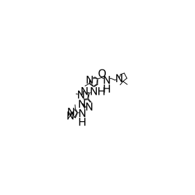 Cc1nn(C)cc1Nc1ncc2c(Nc3cc(C(=O)NCCN4CCCC4(C)C)cnc3C)nn(C)c2n1